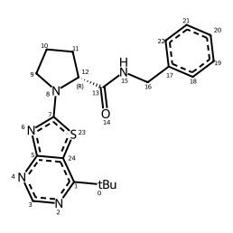 CC(C)(C)c1ncnc2nc(N3CCC[C@@H]3C(=O)NCc3ccccc3)sc12